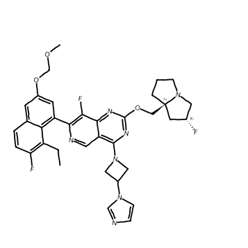 CCc1c(F)ccc2cc(OCOC)cc(-c3ncc4c(N5CC(n6ccnc6)C5)nc(OC[C@@]56CCCN5C[C@H](F)C6)nc4c3F)c12